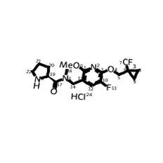 COc1nc(OCC2(C(F)(F)F)CC2)c(F)cc1CN(C)C(=O)[C@@H]1CCCN1.Cl